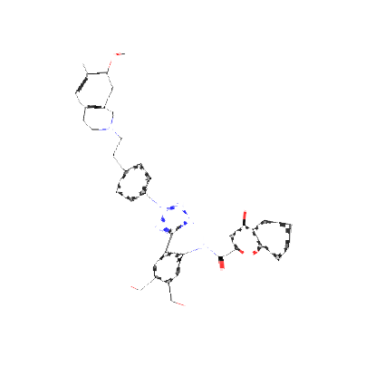 COC1CC2=C(C=C1C)CCN(CCc1ccc(-n3nnc(-c4cc(CO)c(CO)cc4NC(=O)c4cc(=O)c5ccccc5o4)n3)cc1)C2